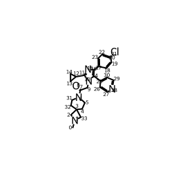 CN1CC2(CCN(C(=O)Cn3c(C4CC4)nc(-c4ccc(Cl)cc4)c3-c3ccncc3)CC2)C1